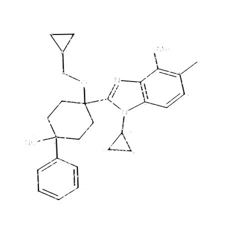 CSc1c(C)ccc2c1nc(C1(OCC3CC3)CCC(C#N)(c3ccccc3)CC1)n2C1CC1